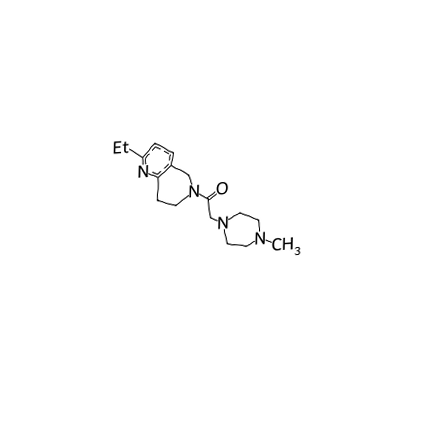 CCc1ccc2c(n1)CCN(C(=O)CN1CCN(C)CC1)C2